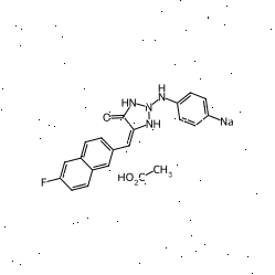 CC(=O)O.O=C1NN(Nc2cc[c]([Na])cc2)N/C1=C/c1ccc2cc(F)ccc2c1